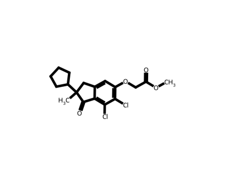 COC(=O)COc1cc2c(c(Cl)c1Cl)C(=O)C(C)(C1CCCC1)C2